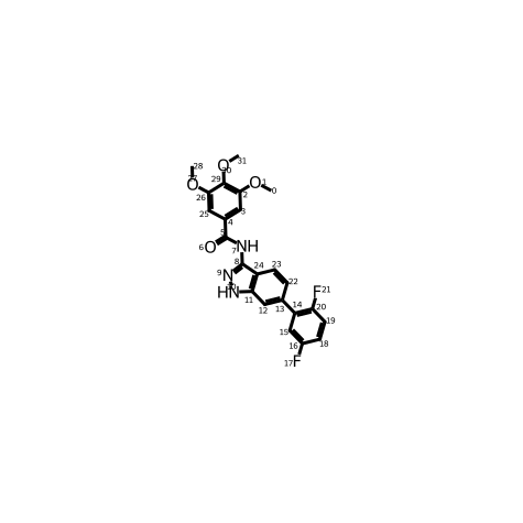 COc1cc(C(=O)Nc2n[nH]c3cc(-c4cc(F)ccc4F)ccc23)cc(OC)c1OC